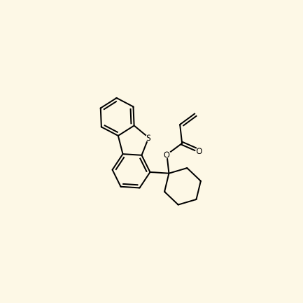 C=CC(=O)OC1(c2cccc3c2sc2ccccc23)CCCCC1